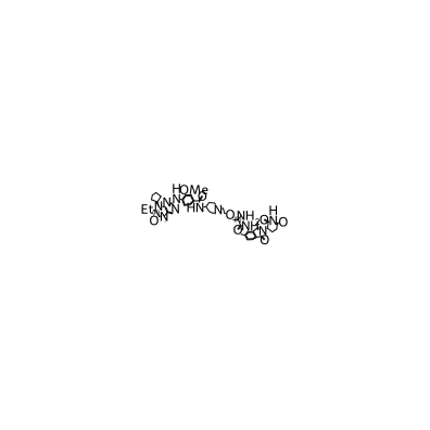 CC[C@@H]1C(=O)N(C)c2cnc(Nc3ccc(C(=O)NC4CCN(CCOC[C@@H](N)C(=O)Nc5c(C)ccc6c5CN(C5CCC(=O)NC5=O)C6=O)CC4)cc3OC)nc2N1C1CCCC1